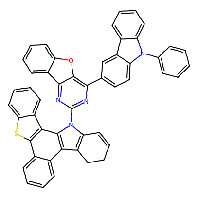 C1=Cc2c(c3c4ccccc4c4sc5ccccc5c4c3n2-c2nc(-c3ccc4c(c3)c3ccccc3n4-c3ccccc3)c3oc4ccccc4c3n2)CC1